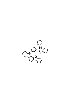 c1ccc(-n2c(-c3cccc(-n4c5ccccc5c5ccc6c7ccccc7sc6c54)c3)nc3ccccc32)cc1